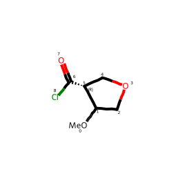 COC1COC[C@H]1C(=O)Cl